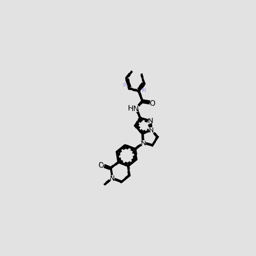 C/C=C\C(=C/C)C(=O)Nc1cc2n(n1)CCN2c1ccc2c(c1)CCN(C)C2=O